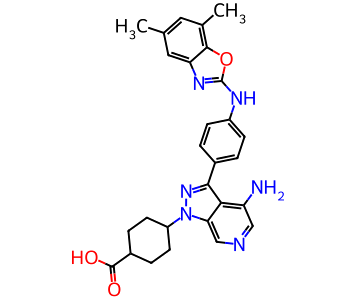 Cc1cc(C)c2oc(Nc3ccc(-c4nn(C5CCC(C(=O)O)CC5)c5cncc(N)c45)cc3)nc2c1